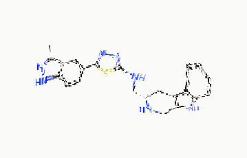 Cc1n[nH]c2ccc(-c3nnc(NC[C@@H]4Cc5c([nH]c6ccccc56)CN4)s3)cc12